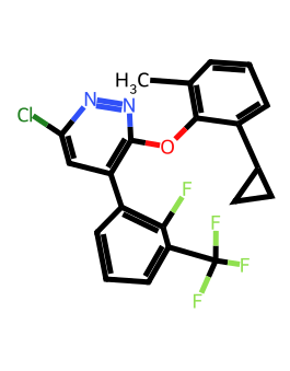 Cc1cccc(C2CC2)c1Oc1nnc(Cl)cc1-c1cccc(C(F)(F)F)c1F